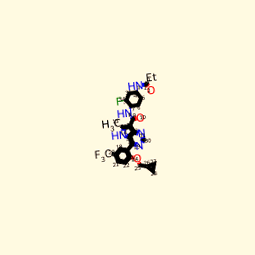 CCC(=O)N[C@@H]1CC[C@@H](NC(=O)c2c(C)[nH]c3c(-c4cc(C(F)(F)F)ccc4OCC4CC4)ncnc23)[C@H](F)C1